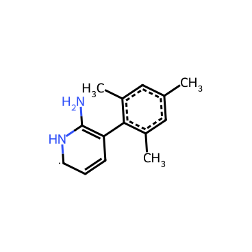 Cc1cc(C)c(C2=C(N)N[CH]C=C2)c(C)c1